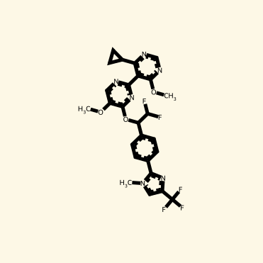 COc1cnc(-c2c(OC)ncnc2C2CC2)nc1OC(c1ccc(-c2nc(C(F)(F)F)cn2C)cc1)C(F)F